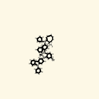 CC1CCC/C=C\C=C/1N(c1ccccc1)c1ccc(N2c3ccc(Br)cc3N(c3ccc4c(c3)c3ccccc3n4-c3ccccc3)P2(=O)c2ccccc2)cc1